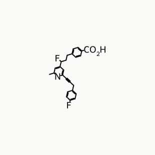 Cc1cc(C(F)CCc2ccc(C(=O)O)cc2)cc(C#CCc2ccc(F)cc2)n1